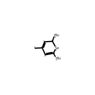 CC1=CC(C(C)(C)C)[Se]C(C(C)(C)C)=C1